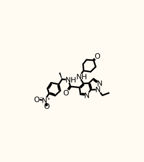 CCn1ncc2c(NC3CCC(=O)CC3)c(C(=O)N[C@H](C)c3ccc([N+](=O)[O-])cc3)cnc21